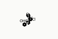 O=CC1N(c2ccccc2)CCN1c1cc(Cl)nc(N2CCOCC2)n1